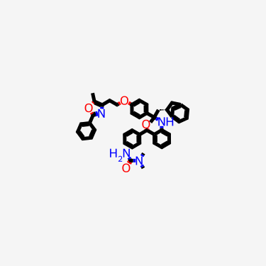 CN(C)C(N)=O.Cc1oc(-c2ccccc2)nc1CCOc1ccc(C(C)(C[C@@H]2Cc3cccc2c3)Nc2ccccc2C(=O)c2ccccc2)cc1